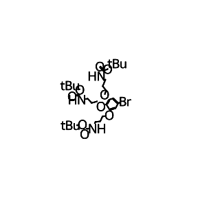 CC(C)(C)OC(=O)NCCCOc1cc(Br)cc(OCCCNC(=O)OC(C)(C)C)c1OCCCNC(=O)OC(C)(C)C